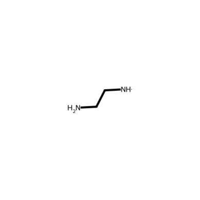 [NH]CCN